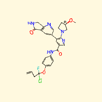 C=CCC(F)(Cl)Oc1ccc(NC(=O)c2cnc(N3CC[C@@H](OC)C3)c(-c3cnc4c(c3)C(=O)NC4)c2)cc1